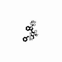 CC(C)Cc1c(OCc2ccccc2)nc(-c2cn(C(=O)OC(C)(C)C)c3ccccc23)c(Cl)[n+]1[O-]